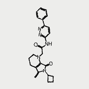 C=C1C2=C(C(=O)N1C1CCC1)N(CC(=O)Nc1ccc(-c3ccccc3)nn1)CCC2